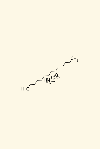 CCCCCCCCCCCCCC.N=C=O.N=C=O